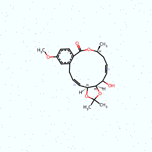 COc1ccc2c(c1)C/C=C\[C@@H]1OC(C)(C)O[C@@H]1C(O)/C=C\C[C@H](C)OC2=O